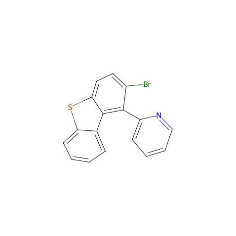 Brc1ccc2sc3ccccc3c2c1-c1ccccn1